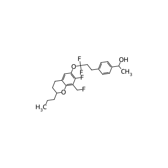 CCCC1CCc2cc(OC(F)(F)CCc3ccc(C(C)O)cc3)c(F)c(CF)c2O1